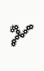 CC1(C)c2ccccc2-c2c(-c3ccc(N(c4ccc(-c5ccc6ccccc6c5)cc4)c4cccc(-c5ccc(-c6ccc7ccccc7c6)cc5)c4)cc3)cccc21